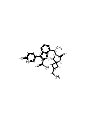 C[C@@H](c1cccc2c(-c3ccc(=O)[nH]c3)c(C(=O)O)[nH]c12)N1CC2(CC(CN)C2)OC1=O